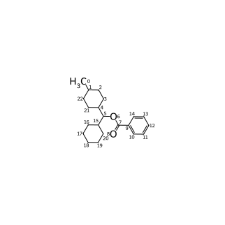 CC1CCC(C(OC(=O)c2ccccc2)C2CCCCC2)CC1